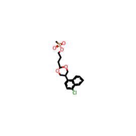 CS(=O)(=O)OCCCC1OCC(c2ccc(Cl)c3ccccc23)CO1